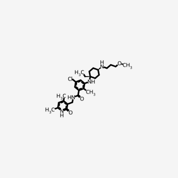 CC[C@]1(Nc2cc(Cl)cc(C(=O)NCc3c(C)cc(C)[nH]c3=O)c2C)CC[C@H](NCCCOC)CC1